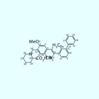 COc1cc(C=C(Br)c2cccc(-c3ccccc3)c2C)c(C)cc1CN1CCCCC1C(=O)O